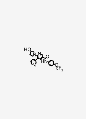 O=C(Nc1ccc(OC(F)(F)F)cc1)c1cnc(N2CC[C@@H](O)C2)c(-c2cccnc2)c1